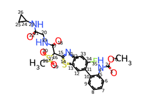 COC(=O)Nc1ccccc1-c1cc2sc(C(C(=O)NCC(=O)NC3CC3)S(C)(=O)=O)nc2cc1F